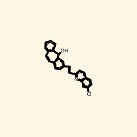 OC1c2ccccc2C=Cc2ccc(C=Cc3ccc4ccc(Cl)cc4n3)cc21